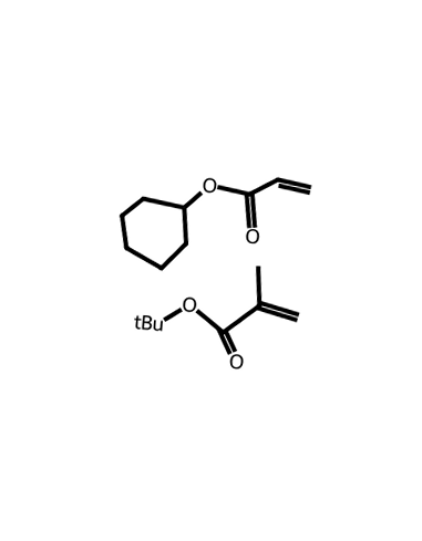 C=C(C)C(=O)OC(C)(C)C.C=CC(=O)OC1CCCCC1